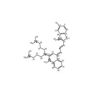 Cc1ccc2sc(/C=C/C=C3\C=C(N(CCCN(C)C)CCCN(C)C)N(C)c4ccccc43)[n+](C)c2c1